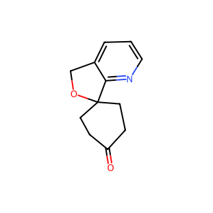 O=C1CCC2(CC1)OCc1cccnc12